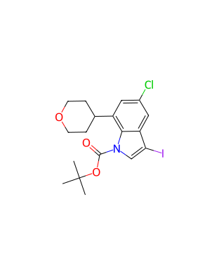 CC(C)(C)OC(=O)n1cc(I)c2cc(Cl)cc(C3CCOCC3)c21